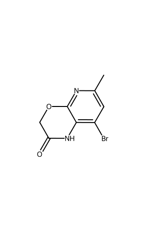 Cc1cc(Br)c2c(n1)OCC(=O)N2